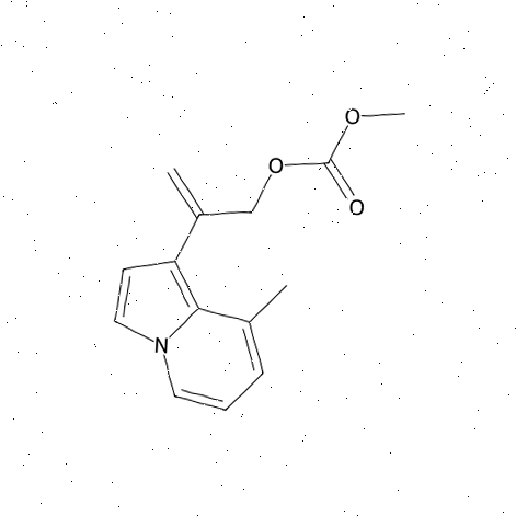 C=C(COC(=O)OC)c1ccn2cccc(C)c12